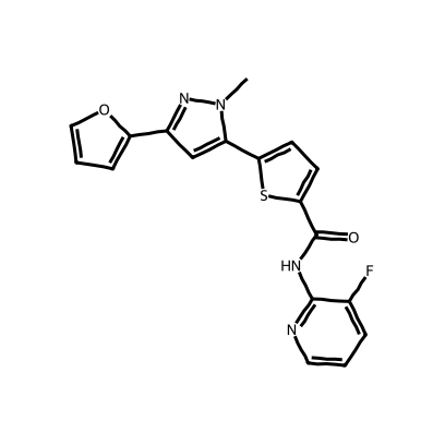 Cn1nc(-c2ccco2)cc1-c1ccc(C(=O)Nc2ncccc2F)s1